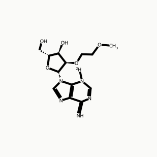 [2H]n1cnc(=N)c2ncn([C@@H]3O[C@H](CO)[C@@H](O)[C@H]3OCCOC)c21